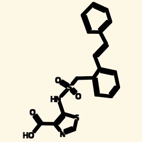 O=C(O)c1ncsc1NS(=O)(=O)Cc1ccccc1C=Cc1ccccc1